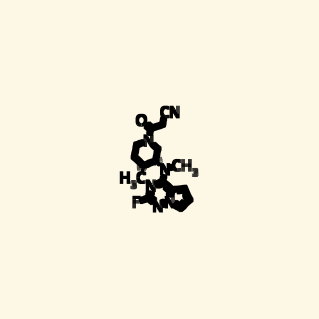 C[C@@H]1CCN(C(=O)CC#N)C[C@@H]1N(C)c1nc(F)nn2cccc12